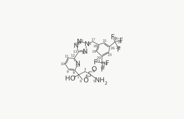 CC(O)(CS(N)(=O)=O)c1cccc(-c2nnn(Cc3cc(C(F)(F)F)cc(C(F)(F)F)c3)n2)n1